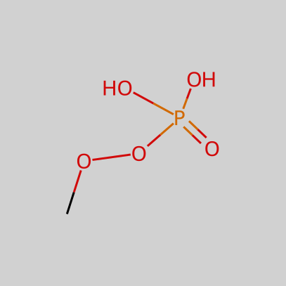 COOP(=O)(O)O